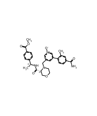 COC(=O)c1ccc([C@H](C)NC(=O)[C@H]2COCCN2Cc2cc(-c3ccc(C(N)=O)cc3C)c[n+]([O-])c2)cc1